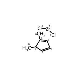 C[C]1C=CC=C1C.[Cl][Zr][Cl]